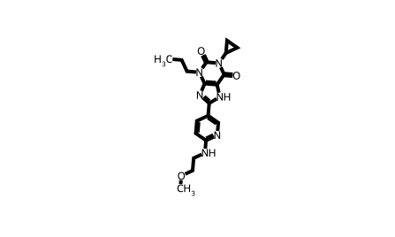 CCCn1c(=O)n(C2CC2)c(=O)c2[nH]c(-c3ccc(NCCOC)nc3)nc21